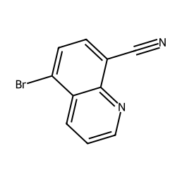 N#Cc1ccc(Br)c2cccnc12